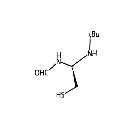 CC(C)(C)N[C@@H](CS)NC=O